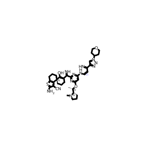 C[C@H](Oc1cc(N/C=C\C(=N)c2cn(C3CCOCC3)nn2)nc(C(=N)C2=C(O)[C@@]3(CCC2)CCCc2sc(N)c(C#N)c23)n1)[C@@H]1CCCN1C